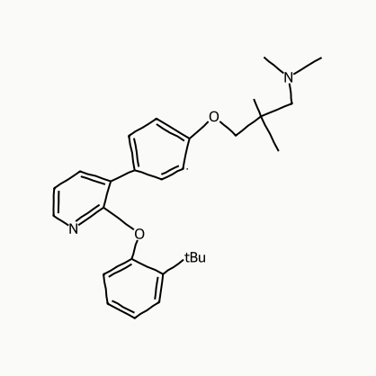 CN(C)CC(C)(C)COc1[c]cc(-c2cccnc2Oc2ccccc2C(C)(C)C)cc1